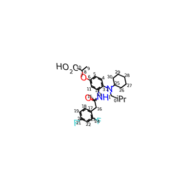 CC(C)CN(c1ccc(OC(C)C(=O)O)cc1NC(=O)Cc1ccc(F)cc1F)C1CCCCC1